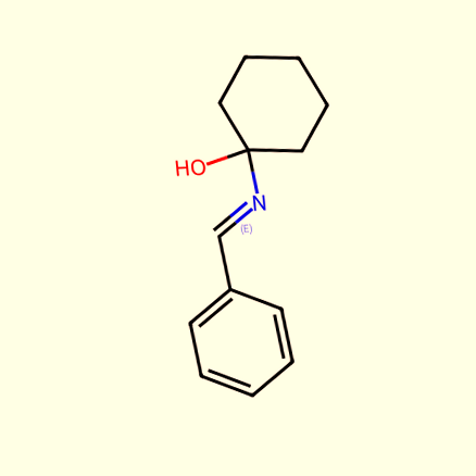 OC1(/N=C/c2ccccc2)CCCCC1